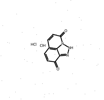 Cl.Cl.O=c1ccc2ccc(=O)n3[nH]nc1c23